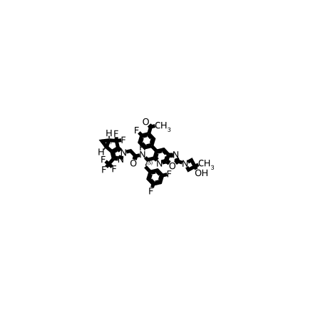 CC(=O)c1cc(-c2cc3nc(N4CC(C)(O)C4)oc3nc2[C@H](Cc2cc(F)cc(F)c2)NC(=O)Cn2nc(C(F)(F)F)c3c2C(F)(F)[C@@H]2C[C@H]32)ccc1F